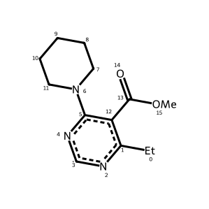 CCc1n[c]nc(N2CCCCC2)c1C(=O)OC